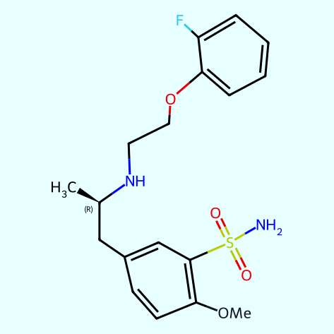 COc1ccc(C[C@@H](C)NCCOc2ccccc2F)cc1S(N)(=O)=O